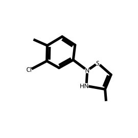 CC1=CSN(c2ccc(C)c(Cl)c2)N1